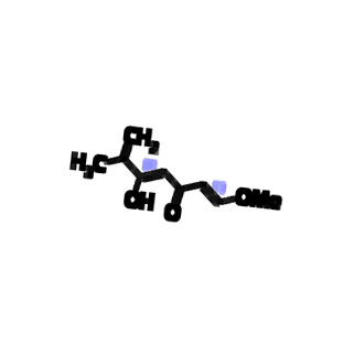 C=C(C)/C(O)=C/C(=O)/C=C/OC